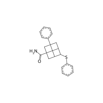 NC(=O)C12CC3C(Sc4ccccc4)C4CC(c5ccccc5)(C1)C342